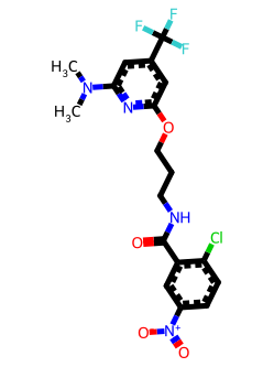 CN(C)c1cc(C(F)(F)F)cc(OCCCNC(=O)c2cc([N+](=O)[O-])ccc2Cl)n1